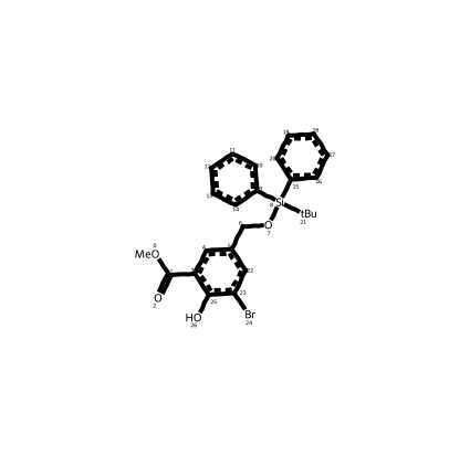 COC(=O)c1cc(CO[Si](c2ccccc2)(c2ccccc2)C(C)(C)C)cc(Br)c1O